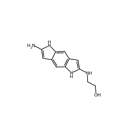 Nc1cc2cc3[nH]c(NCCO)cc3cc2[nH]1